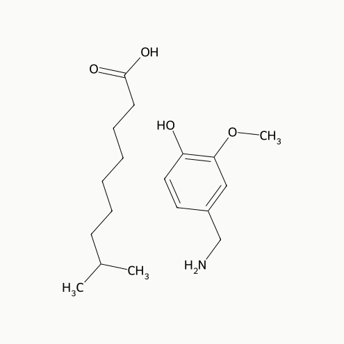 CC(C)CCCCCCC(=O)O.COc1cc(CN)ccc1O